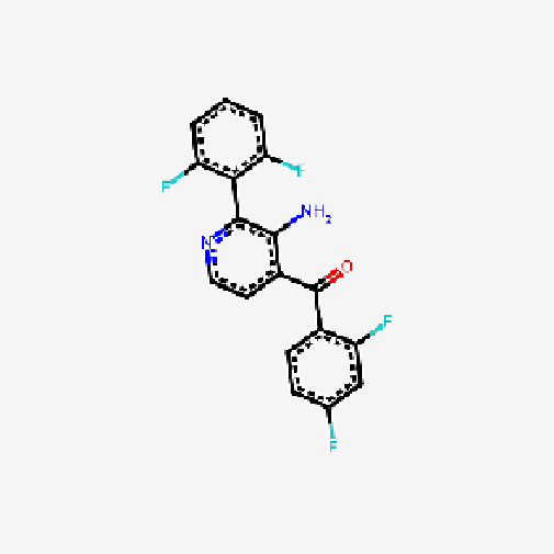 Nc1c(C(=O)c2ccc(F)cc2F)ccnc1-c1c(F)cccc1F